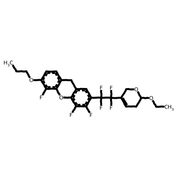 CCCOc1ccc2c(c1F)Oc1c(cc(C(F)(F)C(F)(F)C3=CCC(OCC)OC3)c(F)c1F)C2